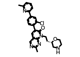 Cc1cccc(-c2ccc(-c3cc4cnc(C)nc4n(CC[C@H]4CNCCO4)c3=O)c(Cl)c2)n1